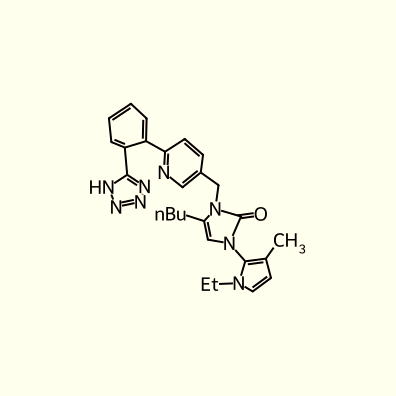 CCCCc1cn(-c2c(C)ccn2CC)c(=O)n1Cc1ccc(-c2ccccc2-c2nnn[nH]2)nc1